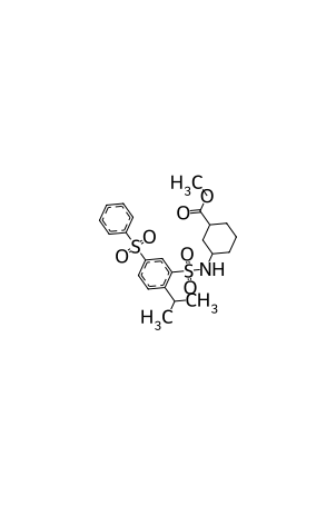 COC(=O)C1CCCC(NS(=O)(=O)c2cc(S(=O)(=O)c3ccccc3)ccc2C(C)C)C1